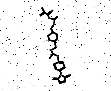 C=C(C)C(=O)OC(C)OCC1CCC(COC(C)Oc2ccc(N3C(=O)C=CC3=O)cc2)CC1